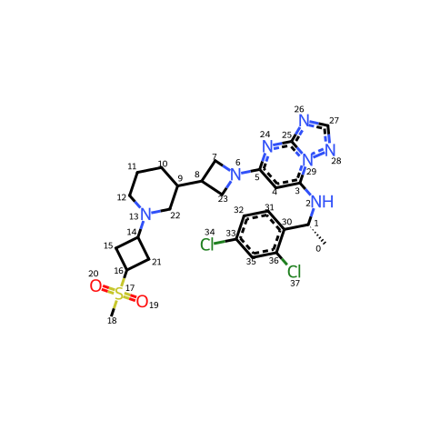 C[C@@H](Nc1cc(N2CC(C3CCCN(C4CC(S(C)(=O)=O)C4)C3)C2)nc2ncnn12)c1ccc(Cl)cc1Cl